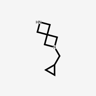 C1CC1CN1CC2(CNC2)C1